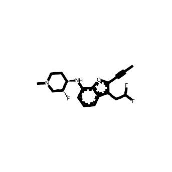 CC#Cc1oc2c(N[C@@H]3CCN(C)C[C@H]3F)cccc2c1CC(F)F